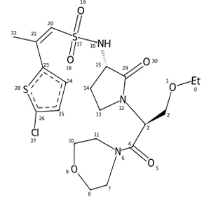 CCOC[C@@H](C(=O)N1CCOCC1)N1CC[C@H](NS(=O)(=O)C=C(C)c2ccc(Cl)s2)C1=O